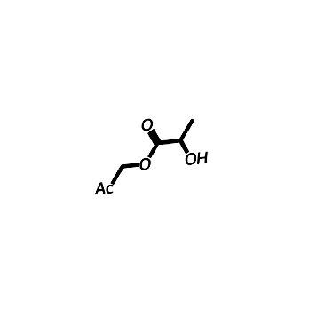 CC(=O)COC(=O)C(C)O